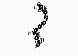 O=C1CC[C@H](N2Cc3cc(N4CCN(CC5CCN(c6ccc(-c7cnc8[nH]cc(C(=O)c9c(F)ccc(NS(=O)(=O)N%10CC[C@@H](F)C%10)c9F)c8c7)cc6)CC5)CC4)ccc3C2=O)C(=O)N1